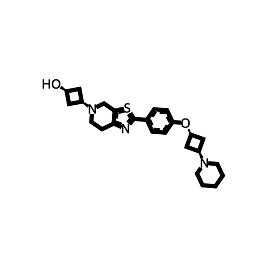 O[C@H]1C[C@@H](N2CCc3nc(-c4ccc(O[C@H]5C[C@H](N6CCCCC6)C5)cc4)sc3C2)C1